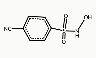 N#Cc1ccc(S(=O)(=O)NO)cc1